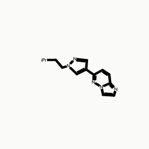 CC(C)CCn1cc(-c2ccc3nccn3n2)cn1